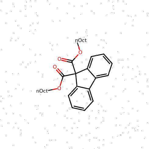 CCCCCCCCOC(=O)C1(C(=O)OCCCCCCCC)c2ccccc2-c2ccccc21